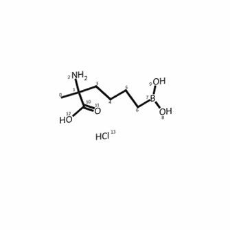 CC(N)(CCCCB(O)O)C(=O)O.Cl